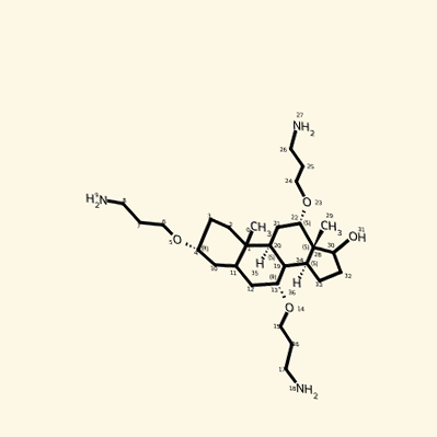 CC12CC[C@@H](OCCCN)CC1C[C@@H](OCCCN)C1[C@@H]2C[C@H](OCCCN)[C@]2(C)C(O)CC[C@@H]12